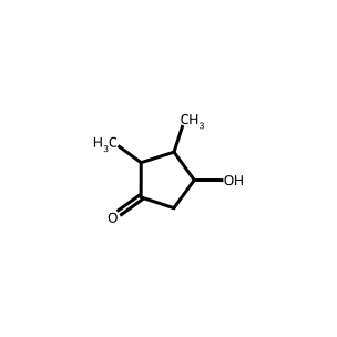 CC1C(=O)CC(O)C1C